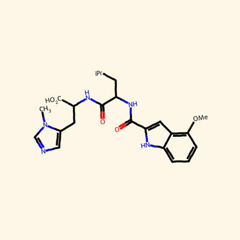 COc1cccc2[nH]c(C(=O)NC(CC(C)C)C(=O)NC(Cc3cncn3C)C(=O)O)cc12